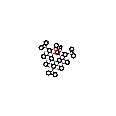 Fc1cccc(F)c1N1c2cc3c(cc2B2c4cc5c(cc4N(c4c(F)cccc4F)c4cc(-n6c7ccccc7c7ccccc76)cc1c42)N(c1c(F)cccc1F)c1cc(-n2c4ccccc4c4ccccc42)cc2c1B5c1cccc4c5ccccc5n-2c14)B1c2c(cc(-n4c5ccccc5c5ccccc54)cc2-n2c4ccccc4c4cccc1c42)N3c1c(F)cccc1F